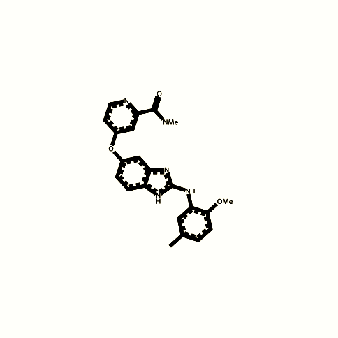 CNC(=O)c1cc(Oc2ccc3[nH]c(Nc4cc(C)ccc4OC)nc3c2)ccn1